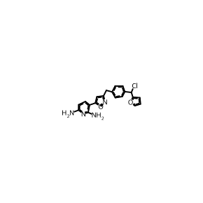 Nc1ccc(-c2cc(Cc3ccc(C(Cl)c4ccco4)cc3)no2)c(N)n1